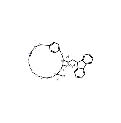 CC(C)[C@H]1COCCCCC/C=C\COc2ccc(cc2)C[C@@H](N(CC2c3ccccc3-c3ccccc32)C(=O)O)C(=O)N1